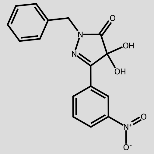 O=C1N(Cc2ccccc2)N=C(c2cccc([N+](=O)[O-])c2)C1(O)O